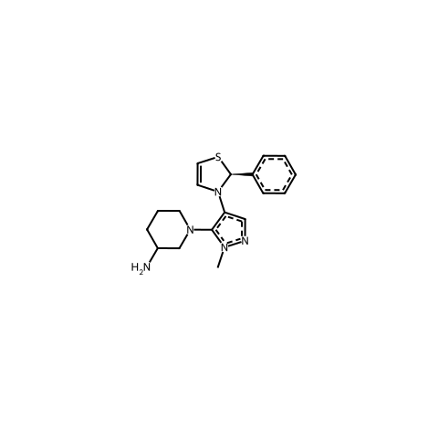 Cn1ncc(N2C=CS[C@H]2c2ccccc2)c1N1CCCC(N)C1